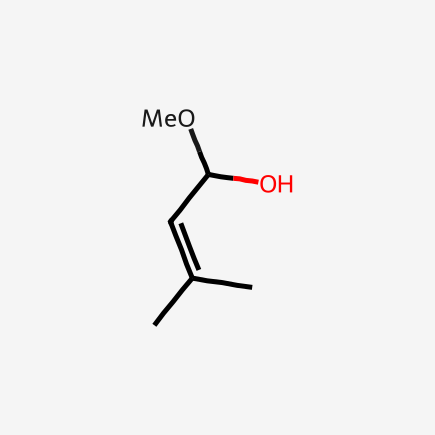 COC(O)C=C(C)C